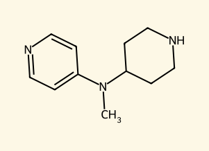 CN(c1ccncc1)C1CCNCC1